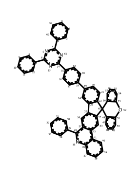 c1ccc(-c2nc(-c3ccccc3)nc(-c3ccc(-c4ccc5c(c4)-c4cc6c(-c7ccccc7)nc7ccccc7c6cc4C54c5ccccc5Oc5ccccc54)cc3)n2)cc1